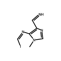 Cn1cnc(C=N)c1/N=C\I